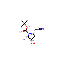 C[C@H]1[C@H](O)C[C@@H](CC#N)N1C(=O)OC(C)(C)C